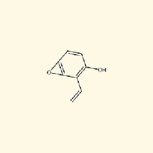 C=Cc1c(O)ccc2c1O2